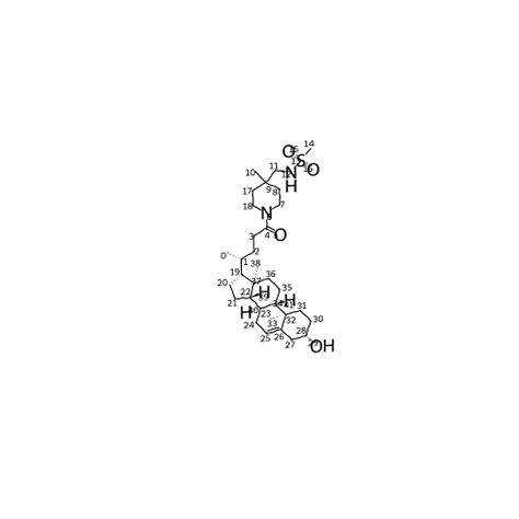 C[C@H](CCC(=O)N1CCC(C)(CNS(C)(=O)=O)CC1)[C@H]1CC[C@H]2[C@@H]3CC=C4C[C@@H](O)CC[C@]4(C)[C@H]3CC[C@]12C